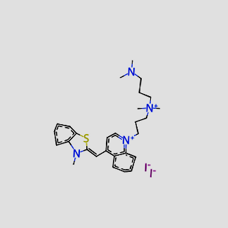 CN(C)CCC[N+](C)(C)CCC[n+]1ccc(C=C2Sc3ccccc3N2C)c2ccccc21.[I-].[I-]